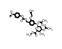 C#CCOc1cc(O[C@@H]2O[C@H](C(=O)OC)[C@@H](C)[C@H](OC(C)=O)[C@H]2OC(C)=O)ccc1COC(=O)Oc1ccc([N+](=O)[O-])cc1